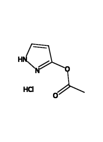 CC(=O)Oc1cc[nH]n1.Cl